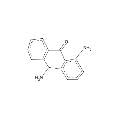 Nc1cccc2c1C(=O)c1ccccc1C2N